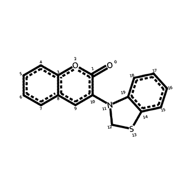 O=c1oc2ccccc2cc1N1CSc2ccccc21